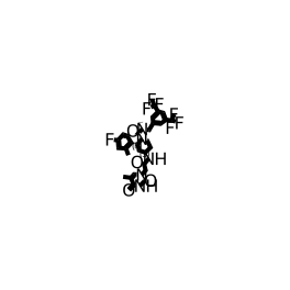 Cc1cc(F)ccc1[C@H]1C[C@@H](NC(=O)Cn2cc(C)c(=O)[nH]c2=O)CCN1C(=O)N(C)Cc1cc(C(F)(F)F)cc(C(F)(F)F)c1